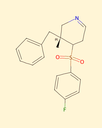 [CH2][C@@]1(Cc2ccccc2)CN=CCC1S(=O)(=O)c1ccc(F)cc1